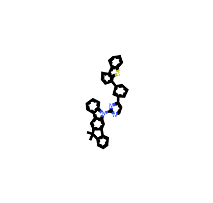 CC1(C)c2ccccc2-c2cc3c(cc21)c1ccccc1n3-c1nccc(-c2cccc(-c3cccc4c3sc3ccccc34)c2)n1